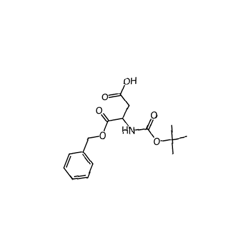 CC(C)(C)OC(=O)NC(CC(=O)O)C(=O)OCc1ccccc1